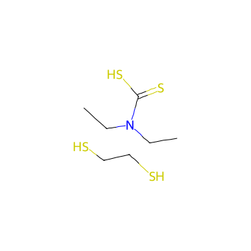 CCN(CC)C(=S)S.SCCS